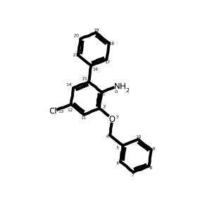 Nc1c(OCc2ccccc2)cc(Cl)cc1-c1ccccc1